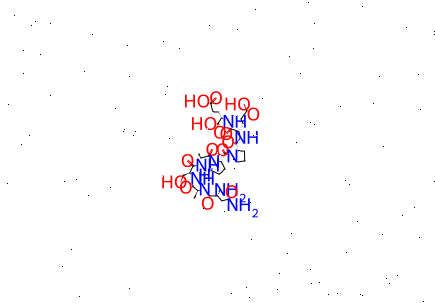 C[C@H](NC(=O)[C@@H](N)CC(N)=O)C(=O)N[C@@H](CO)C(=O)N[C@@H](C)C(=O)N1CCC[C@H]1C(=O)N1CCC[C@H]1C(=O)N[C@@H](CCC(=O)O)C(=O)N[C@@H](CCC(=O)O)C(=O)O